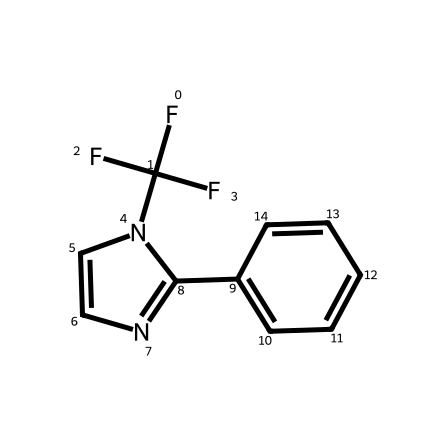 FC(F)(F)n1ccnc1-c1ccccc1